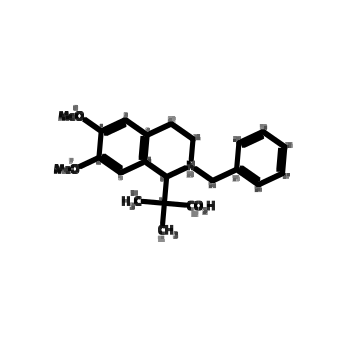 COc1cc2c(cc1OC)C(C(C)(C)C(=O)O)N(Cc1ccccc1)CC2